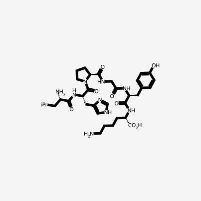 CC(C)C[C@H](N)C(=O)N[C@@H](Cc1c[nH]cn1)C(=O)N1CCC[C@H]1C(=O)NCC(=O)N[C@@H](Cc1ccc(O)cc1)C(=O)N[C@@H](CCCCN)C(=O)O